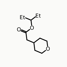 CCC(CC)OC(=O)CC1CCOCC1